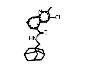 Cc1nc2cccc(C(=O)NCC34CC5CC(CC(C5)C3)C4)c2cc1Cl